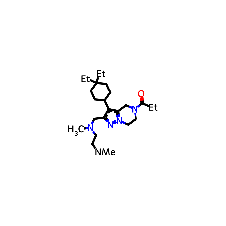 CCC(=O)N1CCn2nc(CN(C)CCNC)c(C3CCC(CC)(CC)CC3)c2C1